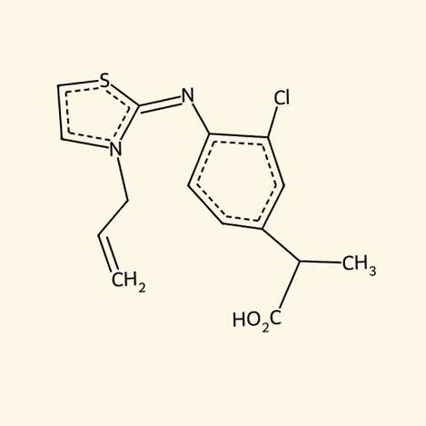 C=CCn1ccsc1=Nc1ccc(C(C)C(=O)O)cc1Cl